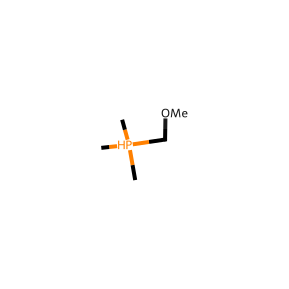 COC[PH](C)(C)C